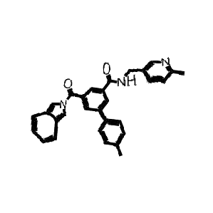 Cc1ccc(-c2cc(C(=O)NCc3ccc(C)nc3)cc(C(=O)n3cc4ccccc4c3)c2)cc1